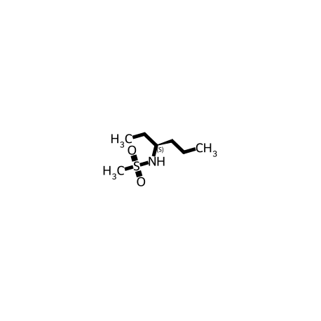 CCC[C@H](CC)NS(C)(=O)=O